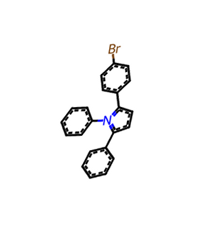 Brc1ccc(-c2ccc(-c3ccccc3)n2-c2ccccc2)cc1